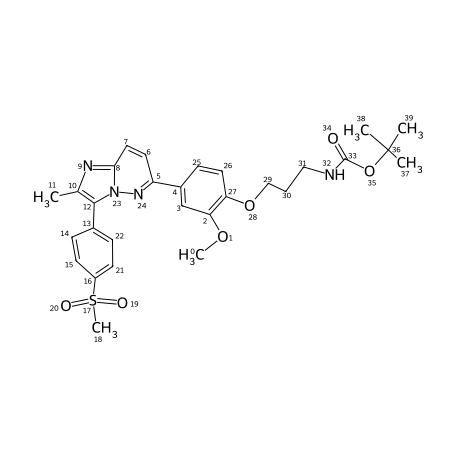 COc1cc(-c2ccc3nc(C)c(-c4ccc(S(C)(=O)=O)cc4)n3n2)ccc1OCCCNC(=O)OC(C)(C)C